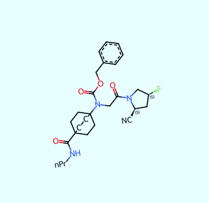 CCCNC(=O)C12CCC(N(CC(=O)N3C[C@@H](F)C[C@H]3C#N)C(=O)OCc3ccccc3)(CC1)CC2